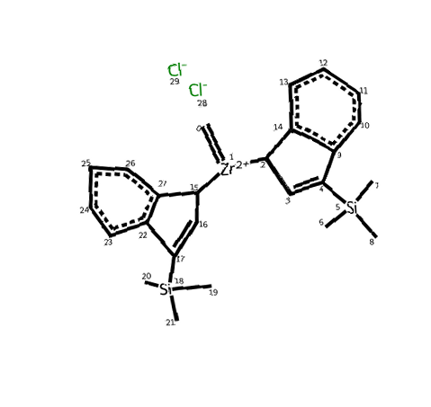 [CH2]=[Zr+2]([CH]1C=C([Si](C)(C)C)c2ccccc21)[CH]1C=C([Si](C)(C)C)c2ccccc21.[Cl-].[Cl-]